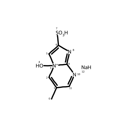 CC1=C[N+]2(O)C=C(S(=O)(=O)O)N=C2N=C1.[NaH]